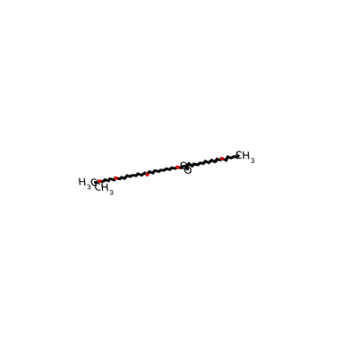 CCCCCCCCC=CCCCCCCCCCC(=O)OCCCCCCCCCCCCCCCCCCCCCCCCCCCCCCC(C)C